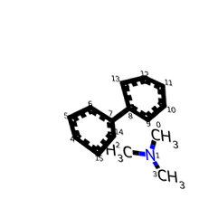 CN(C)C.c1ccc(-c2ccccc2)cc1